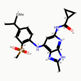 COC(C)c1ccc(Nc2cc(NC(=O)C3CC3)nc3[nH]c(C)nc23)c(S(C)(=O)=O)c1